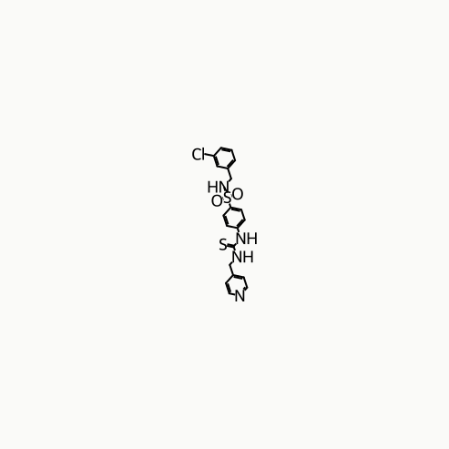 O=S(=O)(NCc1cccc(Cl)c1)c1ccc(NC(=S)NCc2ccncc2)cc1